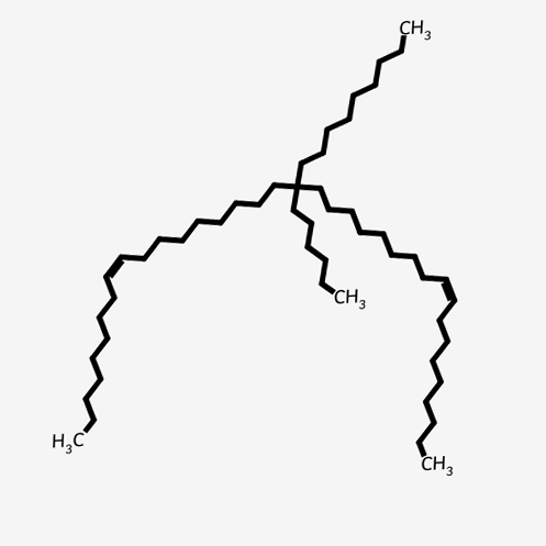 CCCCCCCC/C=C\CCCCCCCCC(CCCCCC)(CCCCCCCCC)CCCCCCCC/C=C\CCCCCCCC